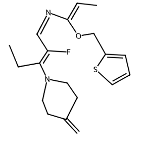 C=C1CCN(/C(CC)=C(F)/C=N\C(=C\C)OCc2cccs2)CC1